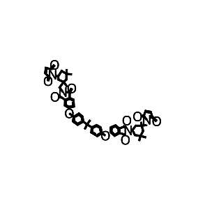 CC1(C)CC(N2C(=O)c3ccc(Oc4ccc(C(C)(C)c5ccc(Oc6ccc7c(c6)C(=O)N(CC6(C)CC(N8C(=O)C=CC8=O)CC(C)(C)C6)C7=O)cc5)cc4)cc3C2=O)CC(C)(CN2C(=O)C=CC2=O)C1